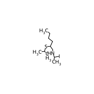 CCCCC(CNC(C)I)SC(C)C